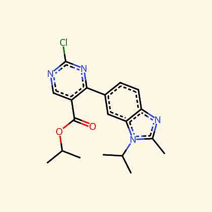 Cc1nc2ccc(-c3nc(Cl)ncc3C(=O)OC(C)C)cc2n1C(C)C